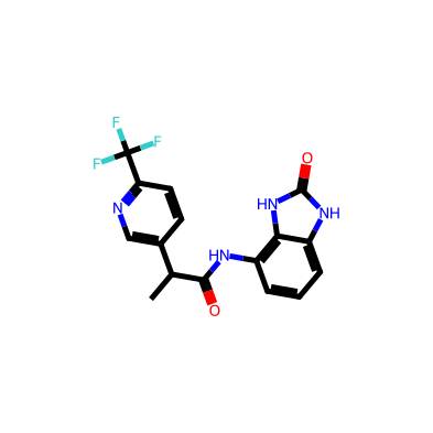 CC(C(=O)Nc1cccc2[nH]c(=O)[nH]c12)c1ccc(C(F)(F)F)nc1